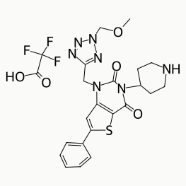 COCn1nnc(Cn2c(=O)n(C3CCNCC3)c(=O)c3sc(-c4ccccc4)cc32)n1.O=C(O)C(F)(F)F